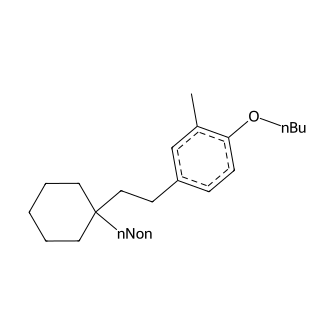 CCCCCCCCCC1(CCc2ccc(OCCCC)c(C)c2)CCCCC1